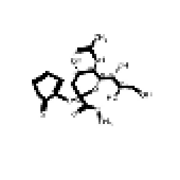 COC(=O)[C@]1(OC2=CC=CCC2=S)C[C@H](O)[C@@H](NC(C)=O)[C@H]([C@H](O)[C@H](O)CO)O1